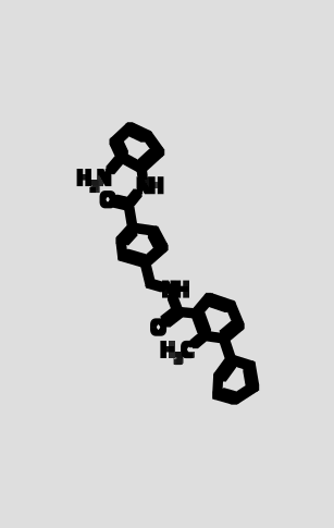 Cc1c(C(=O)NCc2ccc(C(=O)Nc3ccccc3N)cc2)cccc1-c1ccccc1